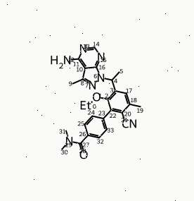 CCOc1c(C(C)n2nc(C)c3c(N)ncnc32)cc(C)c(C#N)c1-c1ccc(C(=O)N(C)C)cc1